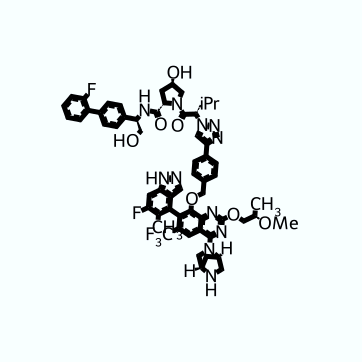 CO[C@@H](C)COc1nc(N2C[C@@H]3C[C@H]2CN3)c2cc(C(F)(F)F)c(-c3c(C)c(F)cc4[nH]ncc34)c(OCc3ccc(-c4cn([C@H](C(=O)N5C[C@H](O)C[C@H]5C(=O)N[C@@H](CO)c5ccc(-c6ccccc6F)cc5)C(C)C)nn4)cc3)c2n1